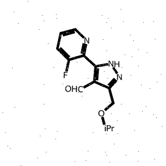 CC(C)OCc1n[nH]c(-c2ncccc2F)c1C=O